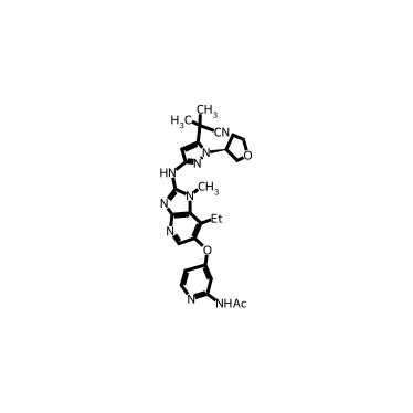 CCc1c(Oc2ccnc(NC(C)=O)c2)cnc2nc(Nc3cc(C(C)(C)C#N)n([C@H]4CCOC4)n3)n(C)c12